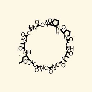 CC[C@H](C)C1NC(=O)C(C)N(C)C(=O)CC(C)NC(=O)CN(C)C(=O)C2(CCCC2)NC(=O)C2CCCN2C(=O)CNC(=O)C(C)N(C)C(=O)CN(C)C(=O)CN(C)C(=O)CN(C)C1=O